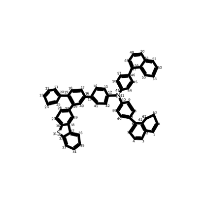 C1=Cc2cccc(-c3ccc(N(c4ccc(-c5ccc(-c6ccccc6)c(-c6ccc7sc8ccccc8c7c6)c5)cc4)c4ccc(-c5cccc6ccccc56)cc4)cc3)c2CC1